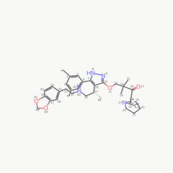 Cc1cc(C)cc(-c2[nH]nc(OCC(C)(C)C(=O)C3CC4CCN3CC4)c2[C@H](C)CNCCc2ccc3c(c2)OCO3)c1